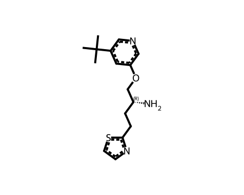 CC(C)(C)c1cncc(OC[C@H](N)CCc2nccs2)c1